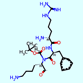 CC(C)(C)OC(=O)N(C(=O)[C@H](Cc1ccccc1)NC(=O)[C@H](N)CCCNC(=N)N)[C@H]([C]=O)CCCCN